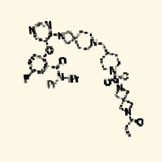 C=CC(=O)N1CC2(C1)CN(S(=O)(=O)N1CCC(CN3CCC4(CC3)CN(c3ncncc3Oc3ccc(F)cc3C(=O)N(C(C)C)C(C)C)C4)CC1)C2